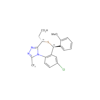 COc1ccccc1[C@@H]1S[C@@H](CC(=O)O)c2nnc(C(F)(F)F)n2-c2ccc(Cl)cc21